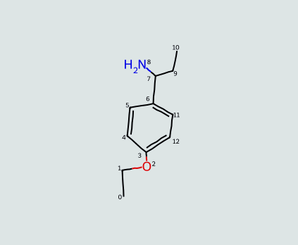 CCOc1ccc(C(N)CC)cc1